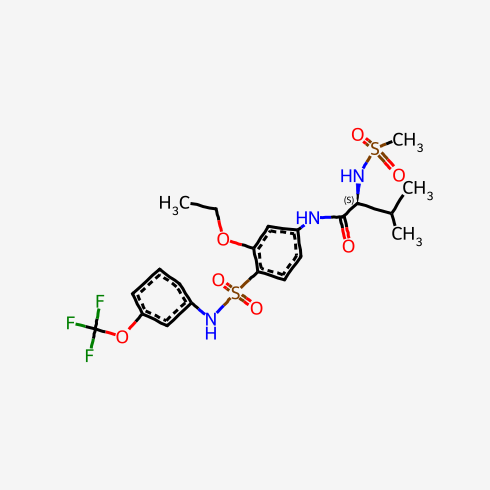 CCOc1cc(NC(=O)[C@@H](NS(C)(=O)=O)C(C)C)ccc1S(=O)(=O)Nc1cccc(OC(F)(F)F)c1